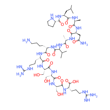 CC(C)C[C@H](NC(=O)[C@@H]1CCCN1)C(=O)N[C@@H](C)C(=O)N[C@@H](CC(N)=O)C(=O)N[C@@H](C)C(=O)N[C@H](C(=O)N[C@@H](CCCCN)C(=O)N[C@@H](CCCNC(=N)N)C(=O)N[C@@H](CO)C(=O)N[C@@H](CO)C(=O)N[C@@H](CO)C(=O)N[C@@H](CCCNC(=N)N)C(=O)O)C(C)C